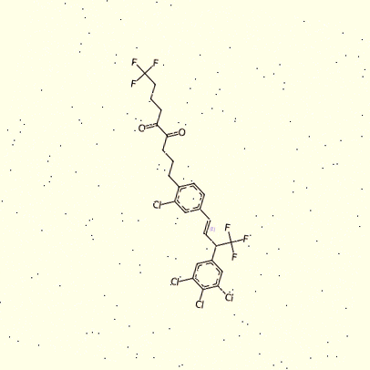 O=C(CCCc1ccc(/C=C/C(c2cc(Cl)c(Cl)c(Cl)c2)C(F)(F)F)cc1Cl)C(=O)CCCC(F)(F)F